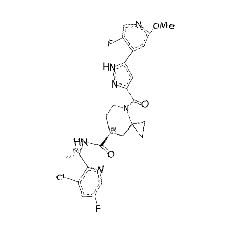 COc1cc(-c2cc(C(=O)N3CC[C@H](C(=O)N[C@@H](C)c4ncc(F)cc4Cl)CC34CC4)n[nH]2)c(F)cn1